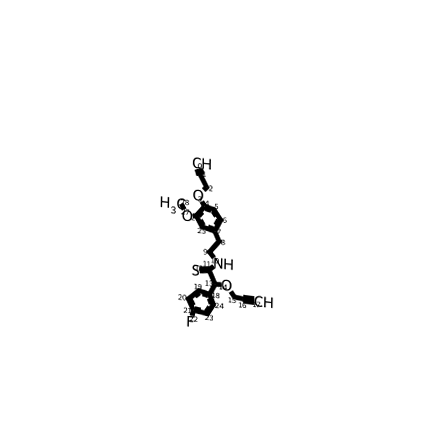 C#CCOc1ccc(CCNC(=S)C(OCC#C)c2ccc(F)cc2)cc1OC